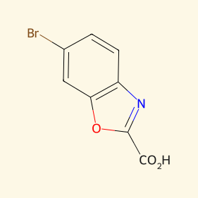 O=C(O)c1nc2ccc(Br)cc2o1